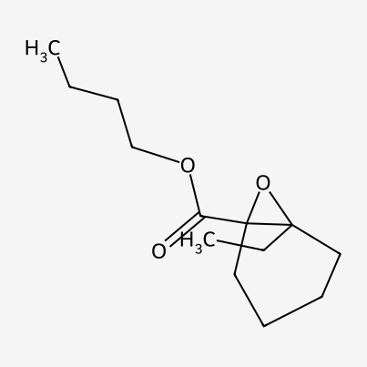 CCCCOC(=O)C12CCCCC1(CC)O2